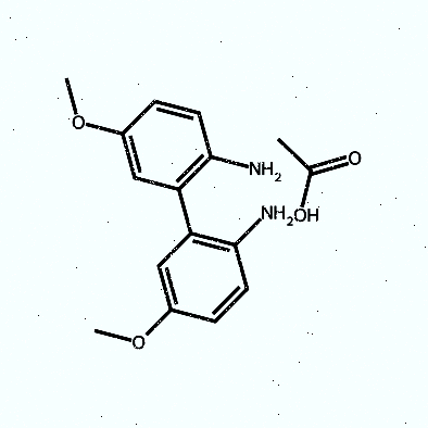 CC(=O)O.COc1ccc(N)c(-c2cc(OC)ccc2N)c1